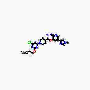 COC[C@@H](C)Oc1nc(Cl)cc(N2CCC(COc3cc(-c4cn(C)cn4)cnc3N)CC2)n1